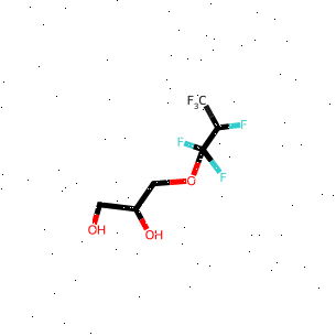 OCC(O)COC(F)(F)C(F)C(F)(F)F